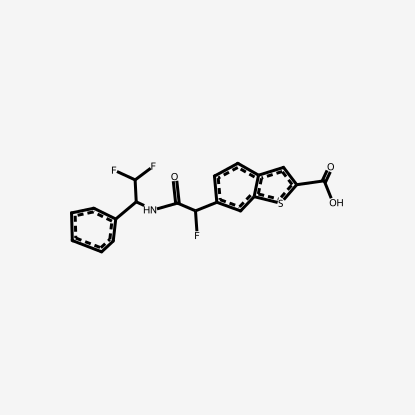 O=C(O)c1cc2ccc(C(F)C(=O)NC(c3ccccc3)C(F)F)cc2s1